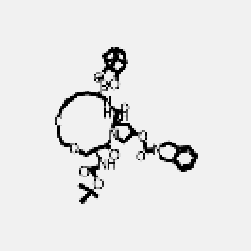 CC(C)(C)OC(=O)N[C@H]1COCCCCCCC[C@H](B2OC3CC4CC(C3O2)C4(C)C)NC(=O)[C@@H]2C[C@@H](OC(=O)N3Cc4ccccc4C3)CN2C1=O